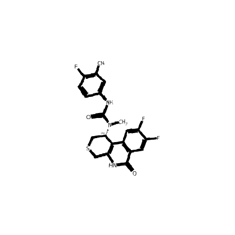 CN(C(=O)Nc1ccc(F)c(C#N)c1)[C@H]1CSCc2[nH]c(=O)c3cc(F)c(F)cc3c21